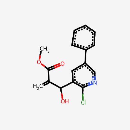 C=C(C(=O)OC)C(O)c1cc(-c2ccccc2)cnc1Cl